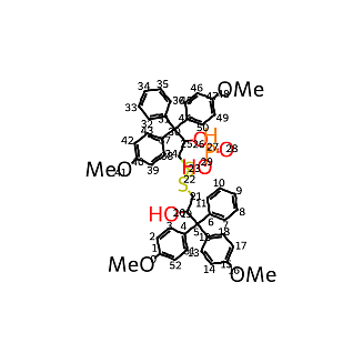 COc1ccc(C(c2ccccc2)(c2ccc(OC)cc2)C(O)CSSCC(O[PH](=O)O)C(c2ccccc2)(c2ccc(OC)cc2)c2ccc(OC)cc2)cc1